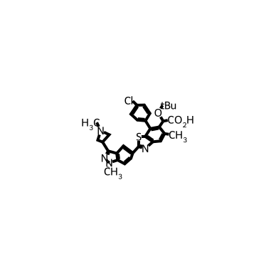 Cc1cc2nc(-c3ccc4c(c3)c(C3CN(C)C3)nn4C)sc2c(-c2ccc(Cl)cc2)c1C(OC(C)(C)C)C(=O)O